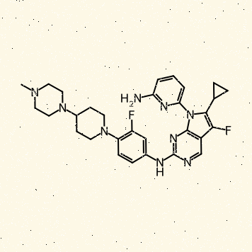 CN1CCN(C2CCN(c3ccc(Nc4ncc5c(F)c(C6CC6)n(-c6cccc(N)n6)c5n4)cc3F)CC2)CC1